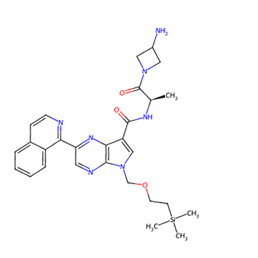 C[C@@H](NC(=O)c1cn(COCC[Si](C)(C)C)c2ncc(-c3nccc4ccccc34)nc12)C(=O)N1CC(N)C1